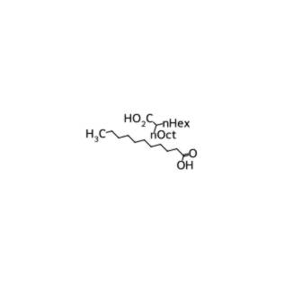 CCCCCCCCC(CCCCCC)C(=O)O.CCCCCCCCCCC(=O)O